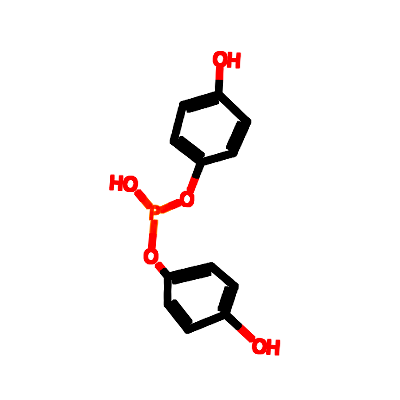 Oc1ccc(OP(O)Oc2ccc(O)cc2)cc1